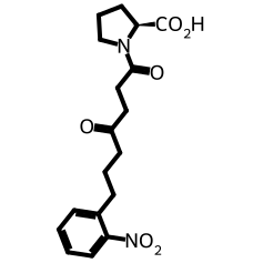 O=C(CCCc1ccccc1[N+](=O)[O-])CCC(=O)N1CCC[C@H]1C(=O)O